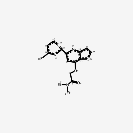 CCN(CC)C(=O)COc1cc(-c2cccc(F)n2)nc2ccsc12